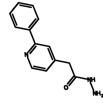 NNC(=O)Cc1ccnc(-c2ccccc2)c1